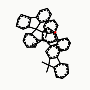 CC1(C)c2ccccc2-c2ccc(N(c3ccccc3-c3ccccc3)c3ccccc3C3(c4ccccc4Br)c4ccccc4-c4ccccc43)cc21